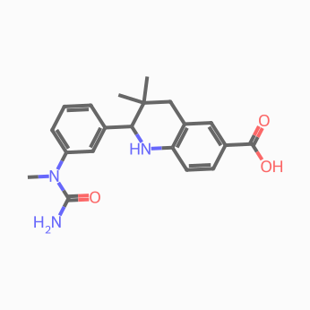 CN(C(N)=O)c1cccc(C2Nc3ccc(C(=O)O)cc3CC2(C)C)c1